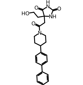 O=C1NC(=O)C(CCO)(CC(=O)N2CCC(c3ccc(-c4ccccc4)cc3)CC2)N1